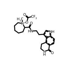 C[N+]1(OC(=O)C(F)(F)F)CCCCCC1C(=O)NCCc1c[nH]c2ccc3c(c12)CCNC3=O